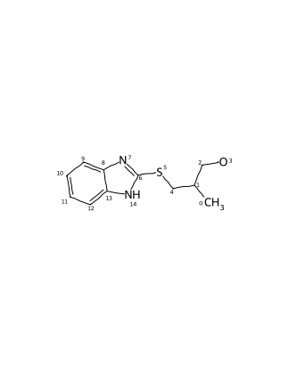 CC(C[O])CSc1nc2ccccc2[nH]1